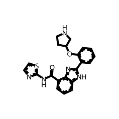 O=C(Nc1nccs1)c1cccc2[nH]c(-c3ccccc3OC3CCNC3)nc12